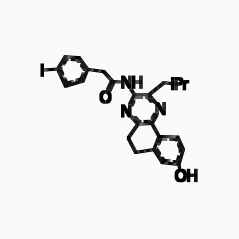 CC(C)Cc1nc2c(nc1NC(=O)Cc1ccc(I)cc1)CCc1cc(O)ccc1-2